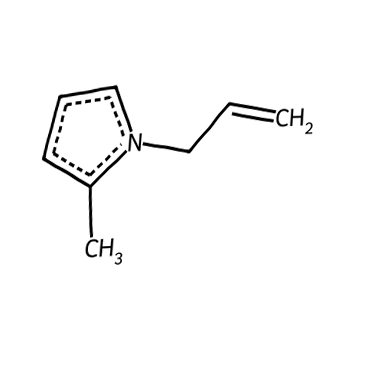 C=CCn1cccc1C